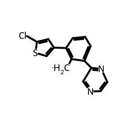 [CH2]c1c(-c2csc(Cl)c2)cccc1-c1cnccn1